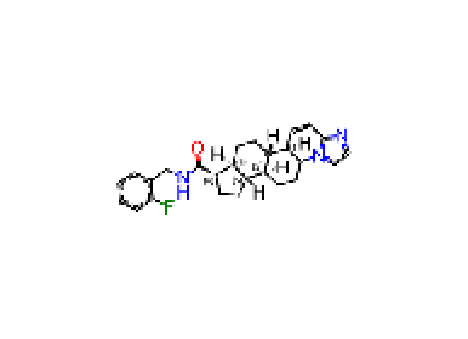 O=C(NCc1ccccc1F)[C@@H]1CC[C@H]2[C@@H]3CCC4[C@H](C=Cc5nccn54)[C@H]3CC[C@@H]21